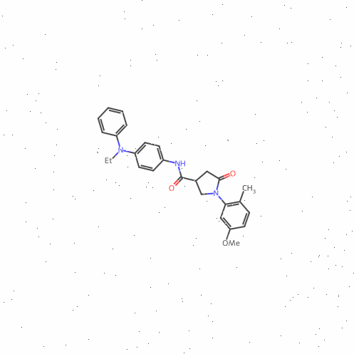 CCN(c1ccccc1)c1ccc(NC(=O)C2CC(=O)N(c3cc(OC)ccc3C)C2)cc1